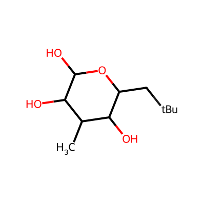 CC1C(O)C(O)OC(CC(C)(C)C)C1O